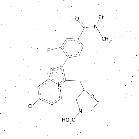 CCN(C)C(=O)c1ccc(-c2nc3cc(Cl)ccn3c2CC2CN(C(=O)O)CCO2)c(F)c1